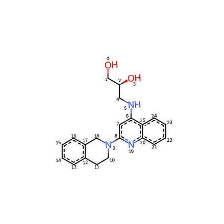 OC[C@@H](O)CNc1cc(N2CCc3ccccc3C2)nc2ccccc12